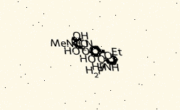 CCC1=CCC(NPP)C(OC2C(C)CC(N)C(OC3OCC(C)(O)C(NC)C3O)C2O)O1